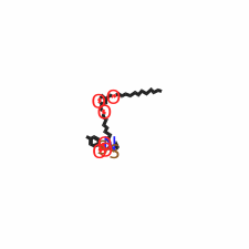 CCCCCCCCCCCCOCC1COC(COCCCCCCCN2C=CSC2OS(=O)(=O)c2ccc(C)cc2)C1